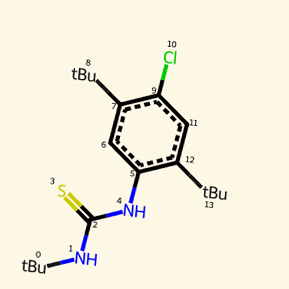 CC(C)(C)NC(=S)Nc1cc(C(C)(C)C)c(Cl)cc1C(C)(C)C